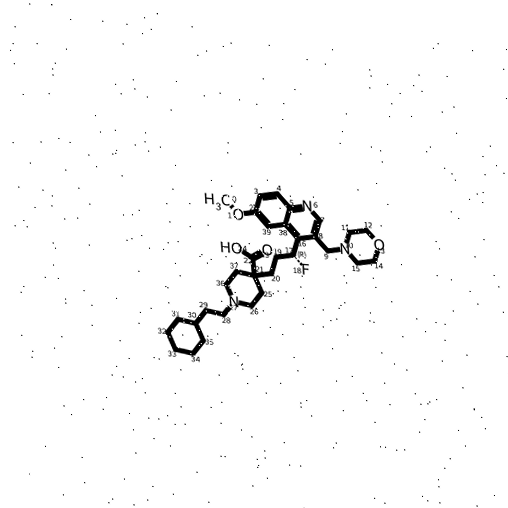 COc1ccc2ncc(CN3CCOCC3)c([C@H](F)CCC3(C(=O)O)CCN(CCC4CCCCC4)CC3)c2c1